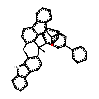 CC1(c2ccccc2)c2ccc3c([nH]c4ccccc43)c2Sc2ccc3c4ccccc4n(-c4ccc(-c5ccccc5)cc4)c3c21